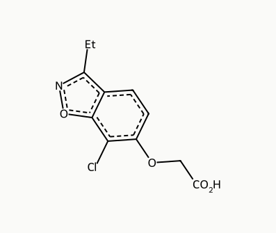 CCc1noc2c(Cl)c(OCC(=O)O)ccc12